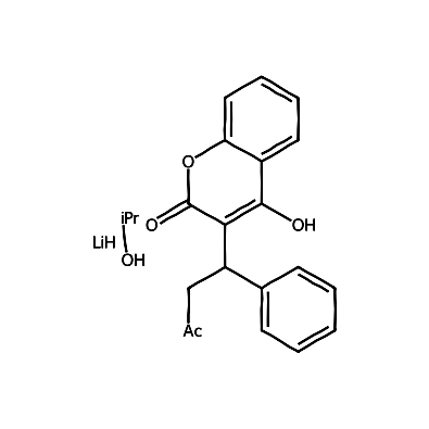 CC(=O)CC(c1ccccc1)c1c(O)c2ccccc2oc1=O.CC(C)O.[LiH]